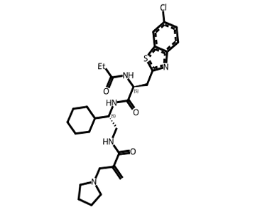 C=C(CN1CCCC1)C(=O)NC[C@@H](NC(=O)[C@H](Cc1nc2ccc(Cl)cc2s1)NC(=O)CC)C1CCCCC1